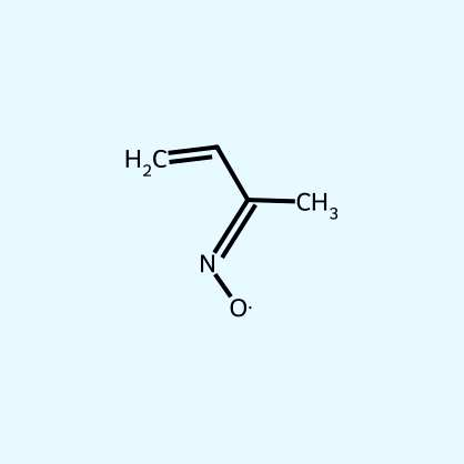 C=CC(C)=N[O]